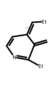 C=c1c(CC)ncc/c1=C/CC